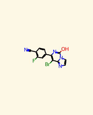 N#Cc1ccc(-c2nc(O)n3ccnc3c2Br)cc1F